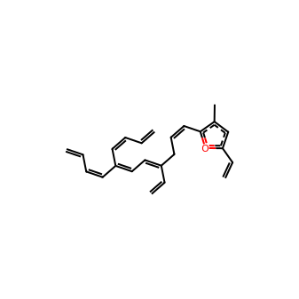 C=C/C=C\C(=C/C=C(\C=C)C/C=C\c1oc(C=C)cc1C)/C=C\C=C